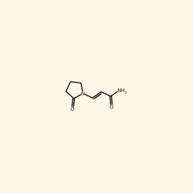 NC(=O)C=CN1CCCC1=O